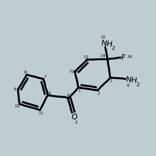 NC1C=C(C(=O)c2ccccc2)C=CC1(N)F